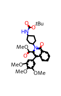 COC(=O)c1c(-c2cc(OC)c(OC)c(OC)c2)c2ccccc2c(=O)n1C1CCC(NC(=O)OC(C)(C)C)CC1